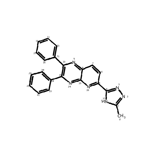 Cc1nnc(-c2ccc3nc(-c4cc[c]cc4)c(-c4ccccc4)nc3n2)[nH]1